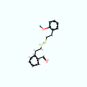 COc1ccccc1CCSSCCc1ccccc1C=O